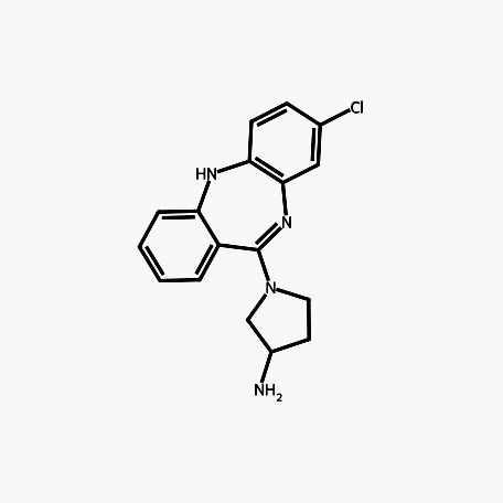 NC1CCN(C2=Nc3cc(Cl)ccc3Nc3ccccc32)C1